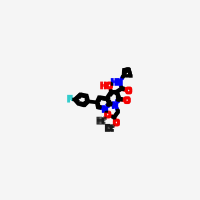 CCOC(Cn1c(=O)c(C(=O)NC23CC(C2)C3)c(O)c2cc(-c3ccc(F)cc3)cnc21)OCC